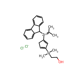 C[C](C)=[Zr+2]([C]1=CC([Si](C)(C)CCO)=CC1)[CH]1c2ccccc2-c2ccccc21.[Cl-].[Cl-]